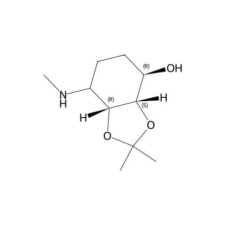 CNC1CC[C@@H](O)[C@@H]2OC(C)(C)O[C@H]12